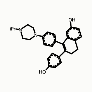 CC(C)N1CCN(c2ccc(C3=C(c4ccc(O)cc4)CCc4ccc(O)cc43)cc2)CC1